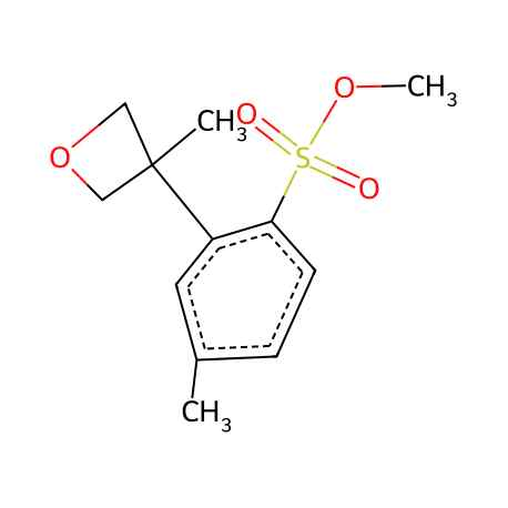 COS(=O)(=O)c1ccc(C)cc1C1(C)COC1